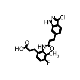 Cc1c(F)ccc(CCC(=O)O)c1NC(=O)C=Cc1ccc2c(Cl)n[nH]c2c1